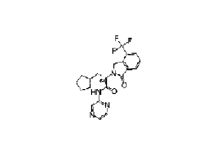 O=C(Nc1cnccn1)[C@H](CC1CCCC1)N1Cc2c(cccc2C(F)(F)F)C1=O